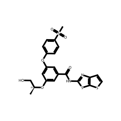 C[C@@H](CO)Oc1cc(Oc2ccc(S(C)(=O)=O)cc2)cc(C(=O)Nc2nc3ccsc3s2)c1